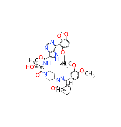 COc1ccc(C2=NN(C3CCN(C(=O)[C@@H](NC(=O)c4c[nH]c5c(-c6c(OCC7CC7)ccc7c6OCO7)ncnc45)[C@@H](C)O)CC3)C(=O)[C@@H]3CCCC[C@H]23)cc1OC